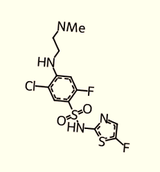 CNCCNc1cc(F)c(S(=O)(=O)Nc2ncc(F)s2)cc1Cl